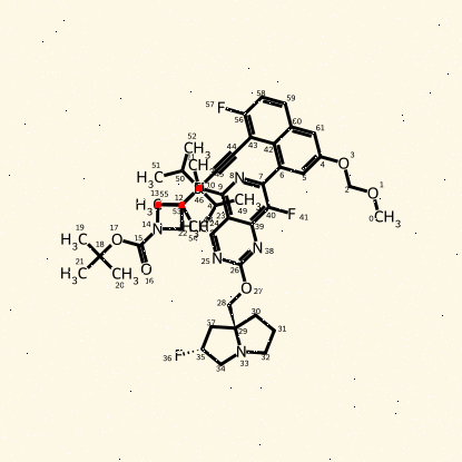 COCOc1cc(-c2nc(N(C)C3CN(C(=O)OC(C)(C)C)C3)c3cnc(OC[C@@]45CCCN4C[C@H](F)C5)nc3c2F)c2c(C#C[Si](C(C)C)(C(C)C)C(C)C)c(F)ccc2c1